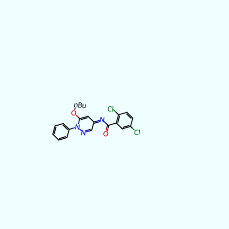 CCCCOc1cc(=NC(=O)c2cc(Cl)ccc2Cl)cnn1-c1ccccc1